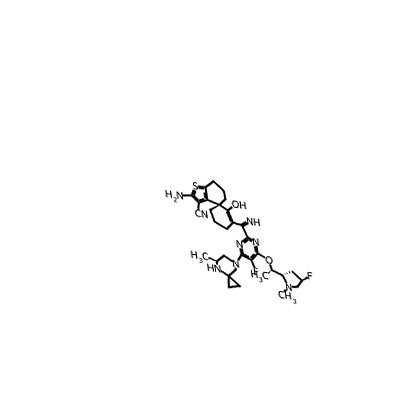 C[C@H](Oc1nc(C(=N)C2=C(O)[C@@]3(CCC2)CCCc2sc(N)c(C#N)c23)nc(N2C[C@H](C)NC3(CC3)C2)c1F)[C@@H]1C[C@@H](F)CN1C